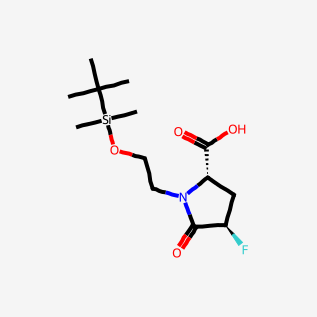 CC(C)(C)[Si](C)(C)OCCN1C(=O)[C@H](F)C[C@H]1C(=O)O